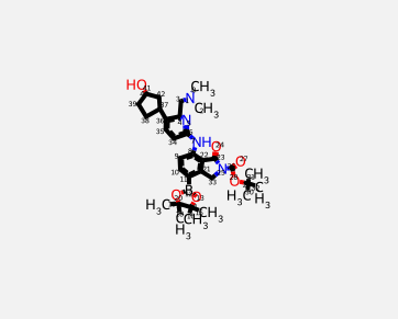 CN(C)Cc1nc(Nc2ccc(B3OC(C)(C)C(C)(C)O3)c3c2C(=O)N(C(=O)OC(C)(C)C)C3)ccc1C1CCC(O)C1